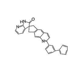 O=C1Nc2ncccc2C12Cc1cc3ccc(-c4cccc(-c5ccccc5)c4)nc3cc1C2